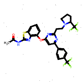 CC(=O)Nc1nc2c(Oc3cc(-c4ccc(C(F)(F)F)cc4)nc(CCN4CCCC4C(F)(F)F)n3)cccc2s1